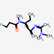 C=C(/C=C(\CC)N(C)C(=O)CCF)/N=C(/C)N(C)C